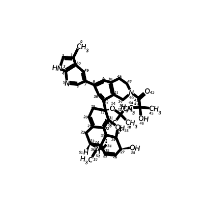 Cc1c[nH]c2ncc(-c3cc4c(c([C@]5(OC(C)(C)C)CC=C6C[C@@H]7[C@@H]8C=C[C@H](O)[C@@H]9OC5=C6[C@]89CCN7C)c3)CN(C(=O)C(C)(C)O)CC4)cc12